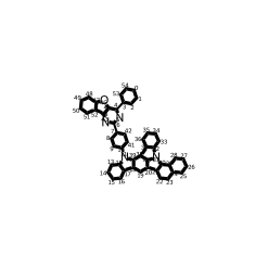 c1ccc(-c2nc(-c3ccc(-n4c5ccccc5c5cc6c7ccc8ccccc8c7n7c8ccccc8c(c54)c67)cc3)nc3c2oc2ccccc23)cc1